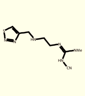 CNC(=NCCNCc1csnn1)NC#N